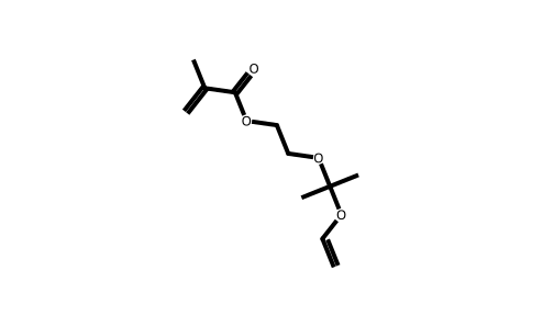 C=COC(C)(C)OCCOC(=O)C(=C)C